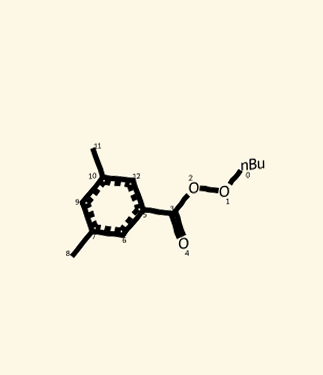 [CH2]CCCOOC(=O)c1cc(C)cc(C)c1